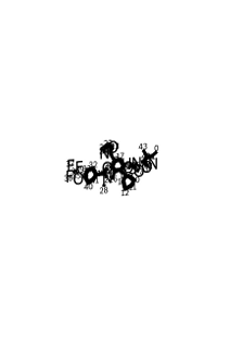 Cc1noc(NS(=O)(=O)c2ccccc2-c2ccc(-c3ncco3)cc2CN(C)C(=O)c2ccc(OC(F)(F)F)cc2)c1C